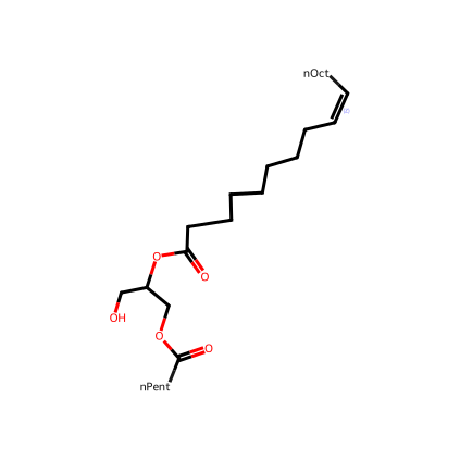 CCCCCCCC/C=C\CCCCCCCC(=O)OC(CO)COC(=O)CCCCC